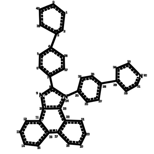 c1ccc(-c2ccc(-c3nc4c5ccccc5c5ccccc5c4n3-c3ccc(-c4ccncc4)cc3)cc2)cc1